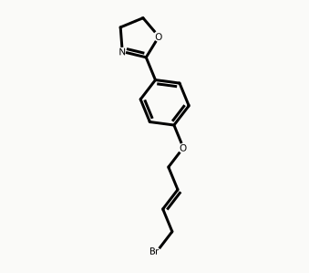 BrCC=CCOc1ccc(C2=NCCO2)cc1